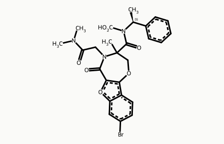 C[C@@H](c1ccccc1)N(C(=O)O)C(=O)C1(C)COc2c(oc3cc(Br)ccc23)C(=O)N1CC(=O)N(C)C